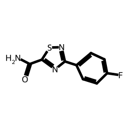 NC(=O)c1nc(-c2ccc(F)cc2)ns1